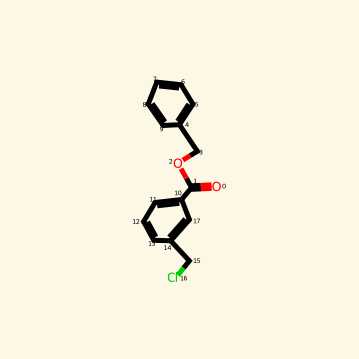 O=C(OCc1ccccc1)c1cccc(CCl)c1